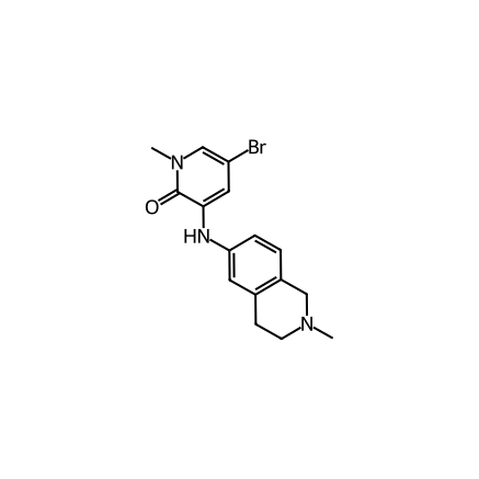 CN1CCc2cc(Nc3cc(Br)cn(C)c3=O)ccc2C1